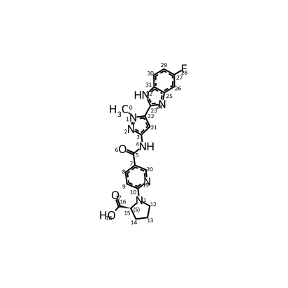 Cn1nc(NC(=O)c2ccc(N3CCC[C@H]3C(=O)O)nc2)cc1-c1nc2cc(F)ccc2[nH]1